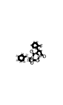 CN1C(=O)C=C(c2ccccc2F)[C@@H]1C(=O)N1C(=O)OC[C@@H]1Cc1ccccc1